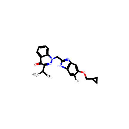 CC(C(=O)O)c1nn(Cc2nc3cc(OCC4CC4)c(C#N)cc3[nH]2)c2ccccc2c1=O